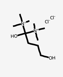 C[N+](C)(C)C(O)(CCCO)[N+](C)(C)C.[Cl-].[Cl-]